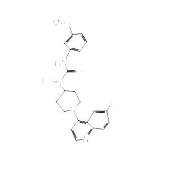 CSc1cccc(NC(=O)N(S)C2CCN(c3ccnc4ccc(Cl)cc34)CC2)c1